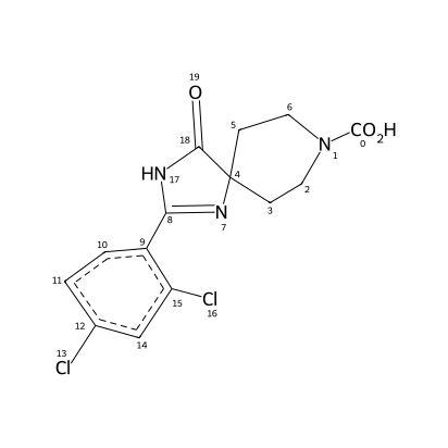 O=C(O)N1CCC2(CC1)N=C(c1ccc(Cl)cc1Cl)NC2=O